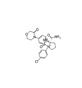 NC(=O)[C@]1(c2ccc(N3CCOCC3=O)cc2)CCC[N+]1(C(N)=O)c1ccc(Cl)cc1